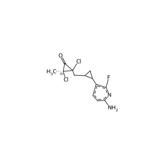 C[C@]1(Cl)C(=O)C1(Cl)CC1CC1c1ccc(N)nc1F